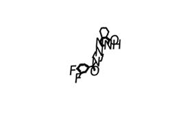 O=C(c1ccc(F)c(F)c1)N1CCN(c2nc3c(c(=O)[nH]2)CCCC3)CC1